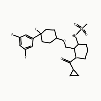 CS(=O)(=O)NC1CCCN(C(=O)C2CC2)C1COC1CCC(F)(c2cc(F)cc(F)c2)CC1